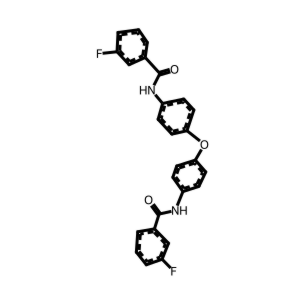 O=C(Nc1ccc(Oc2ccc(NC(=O)c3cccc(F)c3)cc2)cc1)c1cccc(F)c1